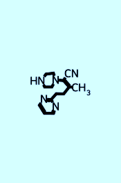 CC(CCc1ncccn1)=C(C#N)N1CCNCC1